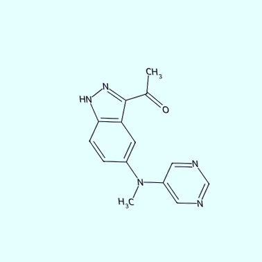 CC(=O)c1n[nH]c2ccc(N(C)c3cncnc3)cc12